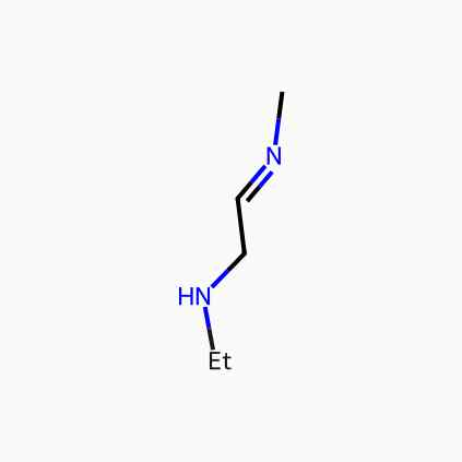 CCNCC=NC